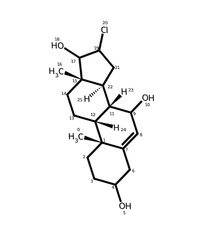 C[C@]12CCC(O)CC1=CC(O)[C@@H]1[C@H]2CC[C@]2(C)C(O)C(Cl)C[C@@H]12